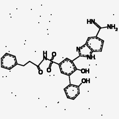 N=C(N)c1ccc2[nH]c(-c3cc(S(=O)(=O)NC(=O)CCc4ccccc4)cc(-c4ccccc4O)c3O)nc2c1